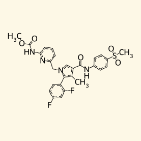 COC(=O)Nc1cccc(Cn2cc(C(=O)Nc3ccc(S(C)(=O)=O)cc3)c(C)c2-c2ccc(F)cc2F)n1